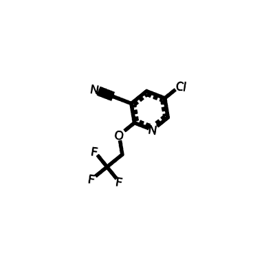 N#Cc1cc(Cl)cnc1OCC(F)(F)F